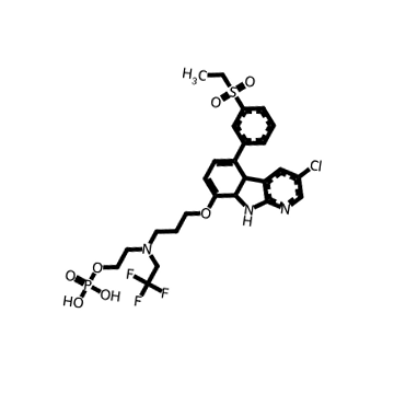 CCS(=O)(=O)c1cccc(C2=CC=C(OCCCN(CCOP(=O)(O)O)CC(F)(F)F)C3Nc4ncc(Cl)cc4C23)c1